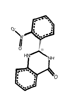 O=C1N[C@@H](c2ccccc2[N+](=O)[O-])Nc2ccccc21